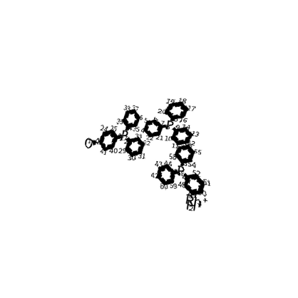 C=O.[H-].[Rh+].c1ccc(P(c2ccccc2)c2ccccc2)cc1.c1ccc(P(c2ccccc2)c2ccccc2)cc1.c1ccc(P(c2ccccc2)c2ccccc2)cc1